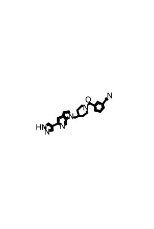 N#Cc1cccc(C(=O)N2CCC(Cn3ccc4cc(-c5cn[nH]c5)ncc43)CC2)c1